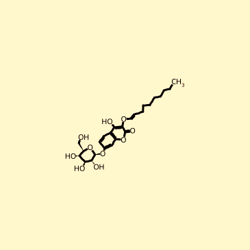 CCCCCCCCC=COc1c(O)c2ccc(O[C@@H]3O[C@H](CO)[C@@H](O)[C@H](O)[C@H]3O)cc2oc1=O